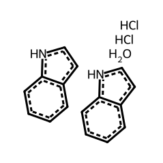 Cl.Cl.O.c1ccc2[nH]ccc2c1.c1ccc2[nH]ccc2c1